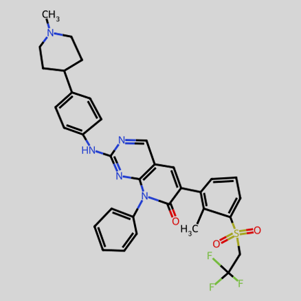 Cc1c(-c2cc3cnc(Nc4ccc(C5CCN(C)CC5)cc4)nc3n(-c3ccccc3)c2=O)cccc1S(=O)(=O)CC(F)(F)F